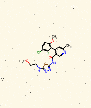 COCCNc1nnc(NC(=O)c2cnc(C)cc2-c2c(OC)ccc(Cl)c2F)s1